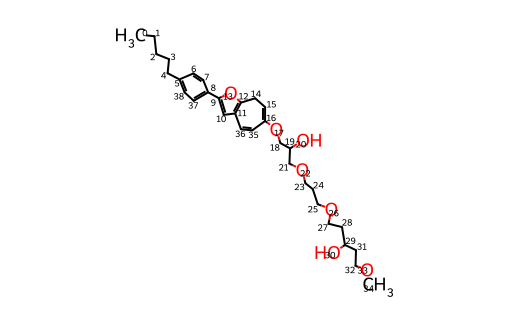 CCCCCc1ccc(-c2cc3c(o2)CC=C(OCC(O)COCCCOCCC(O)CCOC)C=C3)cc1